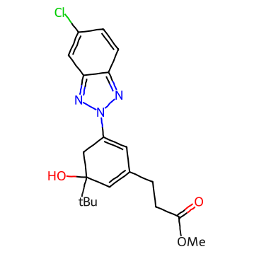 COC(=O)CCC1=CC(O)(C(C)(C)C)CC(n2nc3ccc(Cl)cc3n2)=C1